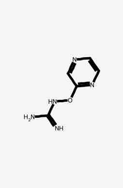 N=C(N)NOc1cnccn1